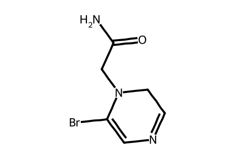 NC(=O)CN1CC=NC=C1Br